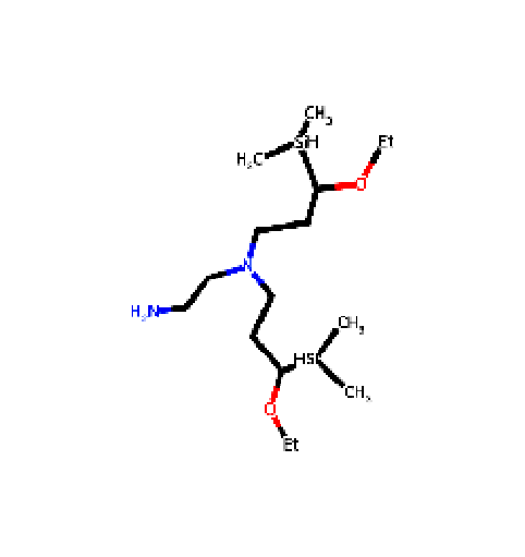 CCOC(CCN(CCN)CCC(OCC)[SiH](C)C)[SiH](C)C